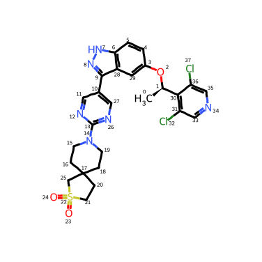 C[C@@H](Oc1ccc2[nH]nc(-c3cnc(N4CCC5(CC4)CCS(=O)(=O)C5)nc3)c2c1)c1c(Cl)cncc1Cl